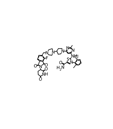 Cc1nc(NC2SC(C(N)=O)=CN2c2c(C)cccc2Cl)cc(N2CCC(N3CCN(Cc4ccc5c(c4F)C(=O)N(C4CCC(=O)NC4=O)C5=O)CC3)CC2)n1